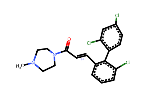 CN1CCN(C(=O)/C=C/c2cc[c]c(Cl)c2-c2ccc(Cl)cc2Cl)CC1